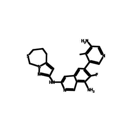 Cc1c(N)cncc1-c1cc2cc(Nc3cc4n(n3)CSCCC4)ncc2c(N)c1F